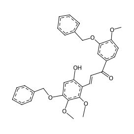 COc1ccc(C(=O)C=Cc2c(O)cc(OCc3ccccc3)c(OC)c2OC)cc1OCc1ccccc1